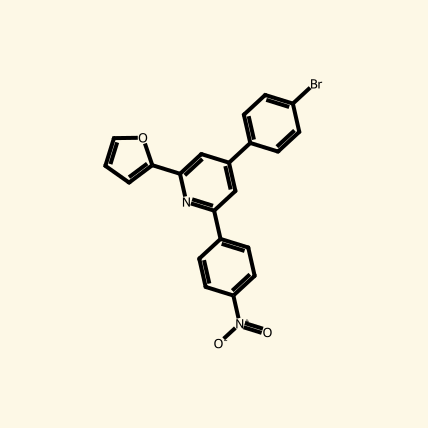 O=[N+]([O-])c1ccc(-c2cc(-c3ccc(Br)cc3)cc(-c3ccco3)n2)cc1